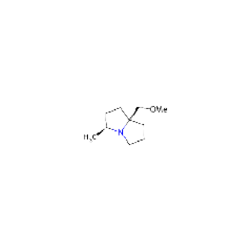 COC[C@@]12CCCN1[C@@H](C)CC2